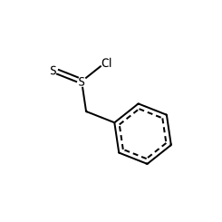 S=S(Cl)Cc1ccccc1